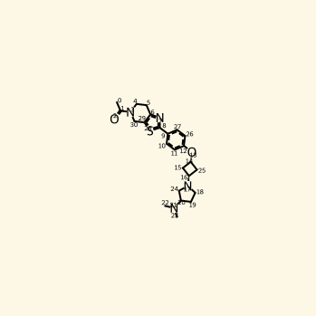 CC(=O)N1CCc2nc(-c3ccc(O[C@H]4C[C@H](N5CCC(N(C)C)C5)C4)cc3)sc2C1